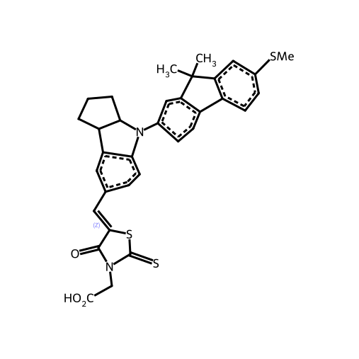 CSc1ccc2c(c1)C(C)(C)c1cc(N3c4ccc(/C=C5\SC(=S)N(CC(=O)O)C5=O)cc4C4CCCC43)ccc1-2